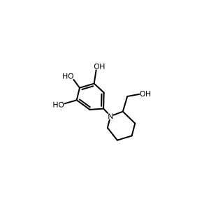 OCC1CCCCN1c1cc(O)c(O)c(O)c1